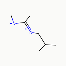 CN/C(C)=N/CC(C)C